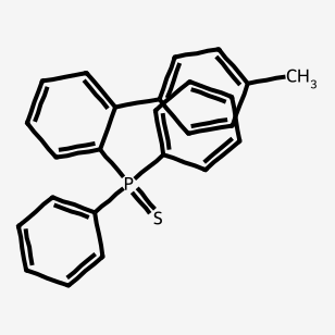 Cc1ccc(-c2ccccc2P(=S)(c2ccccc2)c2ccccc2)cc1